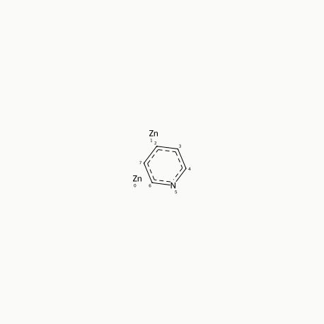 [Zn].[Zn].c1ccncc1